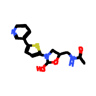 CC(=O)NCC1CN(c2ccc(-c3cccnc3)s2)C(O)O1